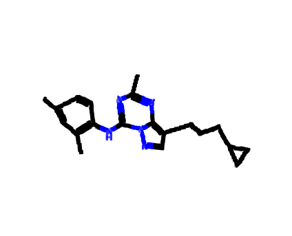 Cc1ccc(Nc2nc(C)nc3c(CCCC4CC4)cnn23)c(C)c1